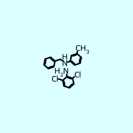 Cc1cccc(NCc2ccccc2)c1.Nc1c(Cl)cccc1Cl